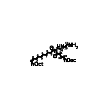 CCCCCCCC/C=C\CCCCCCCC(=O)N(CCNCCN)C(=O)CCCCCCCCCCCCC